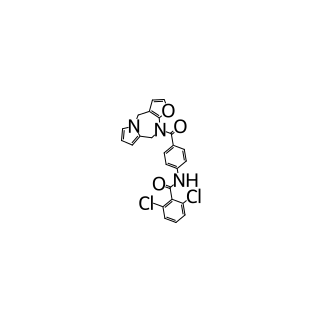 O=C(Nc1ccc(C(=O)N2Cc3cccn3Cc3ccoc32)cc1)c1c(Cl)cccc1Cl